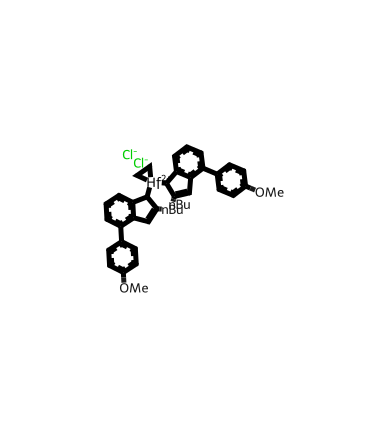 CCCCC1=Cc2c(-c3ccc(OC)cc3)cccc2[CH]1[Hf+2]1([CH]2C(CCCC)=Cc3c(-c4ccc(OC)cc4)cccc32)[CH2][CH2]1.[Cl-].[Cl-]